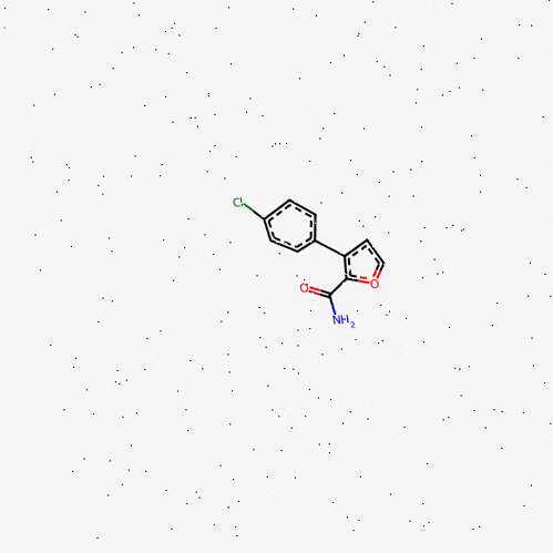 NC(=O)c1occc1-c1ccc(Cl)cc1